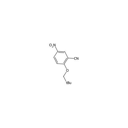 CC(C)(C)COc1ccc([N+](=O)[O-])cc1C#N